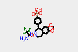 NC(=O)C(F)(F)F.O=S(=O)(O)c1ccc(C2CNCCc3cc4c(cc32)OCO4)cc1